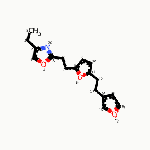 CCc1coc(CCc2ccc(CCc3ccoc3)o2)n1